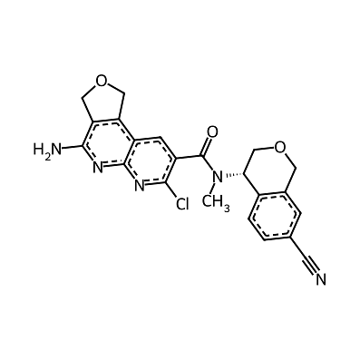 CN(C(=O)c1cc2c3c(c(N)nc2nc1Cl)COC3)[C@@H]1COCc2cc(C#N)ccc21